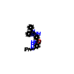 Cc1ccc(CNCC(C)C)cc1NC(=O)c1ccc(Nc2nc(-c3ccccc3)c3ccccc3n2)cc1